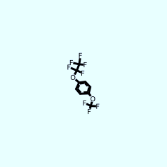 FC(F)(F)Oc1ccc(OC(F)(F)C(F)(F)F)cc1